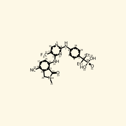 CCC(CC)(c1ccc(Nc2ncc(C(F)(F)F)c(Nc3ccc(C#N)c4c3C(=O)N(C)C4)n2)cc1)P(=O)(O)O